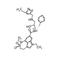 CCc1cc(CNCC(O)[C@H](Cc2ccccc2)NC(=O)c2cc3c4c(cn(CC)c4c2)CCS(=O)(=O)N3C)on1